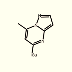 CCC(C)c1cc(C)n2nccc2n1